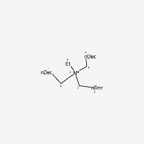 CCCCCCCCCCC[N+](CC)(CCCCCCCCCCC)CCCCCCCCCCC